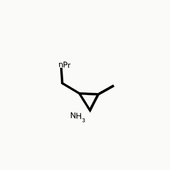 CCCCC1CC1C.N